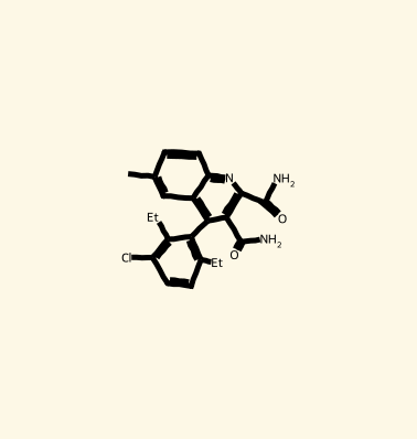 CCc1ccc(Cl)c(CC)c1-c1c(C(N)=O)c(C(N)=O)nc2ccc(C)cc12